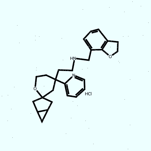 Cl.c1ccc(C2(CCNCc3cccc4c3OCC4)CCOC3(CC4CC4C3)C2)nc1